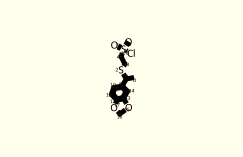 CC(SCCS(=O)(=O)Cl)c1ccc2c(c1)OCO2